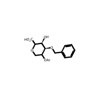 CC(=O)OC1COC(C(=O)O)[C@@H](O)[C@H]1OCc1ccccc1